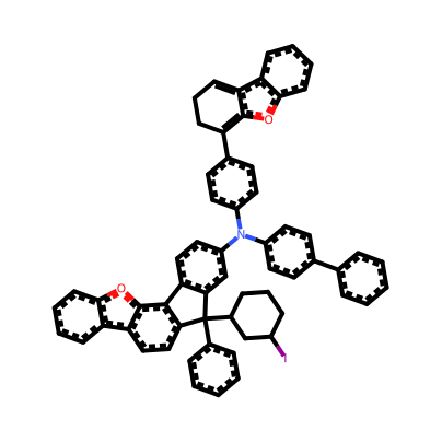 IC1CCCC(C2(c3ccccc3)c3cc(N(c4ccc(C5=c6oc7ccccc7c6=CCC5)cc4)c4ccc(-c5ccccc5)cc4)ccc3-c3c2ccc2c3oc3ccccc32)C1